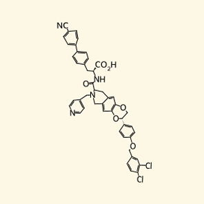 N#Cc1ccc(-c2ccc(C[C@H](NC(=O)C3Cc4cc5c(cc4CN3Cc3ccncc3)O[C@@H](c3ccc(OCc4ccc(Cl)c(Cl)c4)cc3)CO5)C(=O)O)cc2)cc1